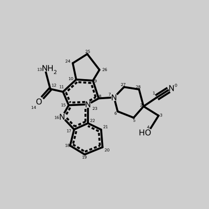 N#CC1(CO)CCN(c2c3c(c(C(N)=O)c4nc5ccccc5n24)CCC3)CC1